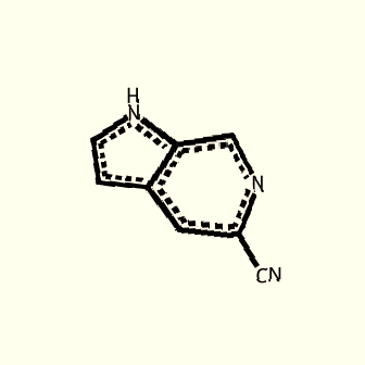 N#Cc1cc2cc[nH]c2cn1